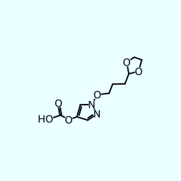 O=C(O)Oc1cnn(OCCCC2OCCO2)c1